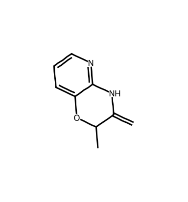 C=C1Nc2ncccc2OC1C